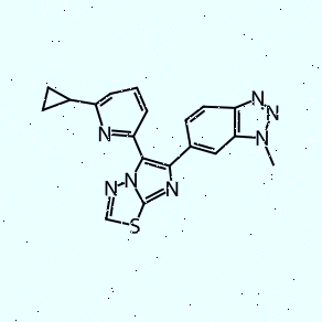 Cn1nnc2ccc(-c3nc4scnn4c3-c3cccc(C4CC4)n3)cc21